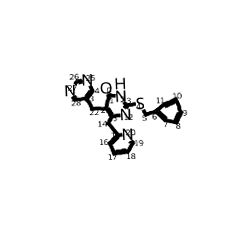 O=c1[nH]c(SCc2ccccc2)nc(Cc2ccccn2)c1Cc1cncnc1